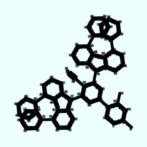 Cc1ccc(-c2cc(-n3c4cccc(-c5ccccc5)c4c4c(-c5ccccc5)cccc43)c(C#N)c(-n3c4cccc(-c5ccccc5)c4c4c(-c5ccccc5)cccc43)c2)c(C)n1